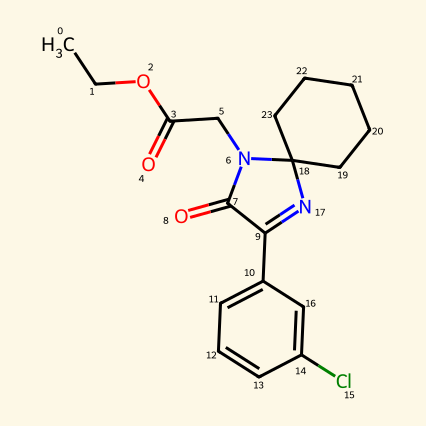 CCOC(=O)CN1C(=O)C(c2cccc(Cl)c2)=NC12CCCCC2